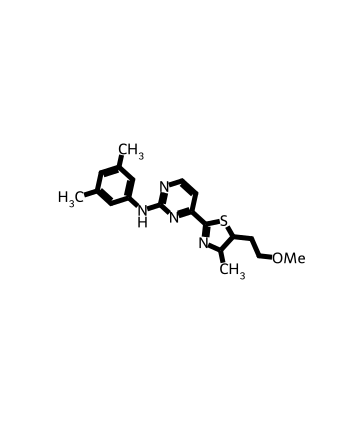 COCCC1SC(c2ccnc(Nc3cc(C)cc(C)c3)n2)=NC1C